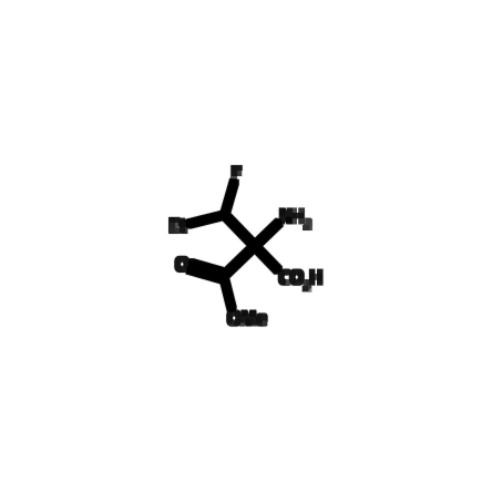 CCC(F)C(N)(C(=O)O)C(=O)OC